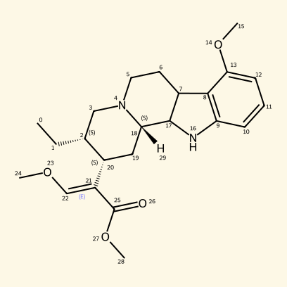 CC[C@@H]1CN2CCC3c4c(cccc4OC)NC3[C@@H]2C[C@@H]1/C(=C\OC)C(=O)OC